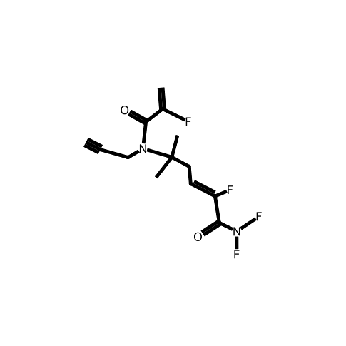 C#CCN(C(=O)C(=C)F)C(C)(C)CC=C(F)C(=O)N(F)F